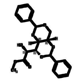 COC(=O)[C@@H](O)[C@H]1OC(c2ccccc2)O[C@H]2COC(c3ccccc3)O[C@@H]12